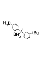 Bc1ccc(C(C)(C)c2cccc(C(C)(C)C)c2)c(B)c1